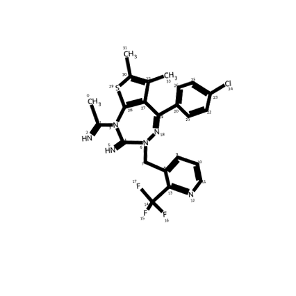 CC(=N)N1C(=N)N(Cc2cccnc2C(F)(F)F)N=C(c2ccc(Cl)cc2)c2c1sc(C)c2C